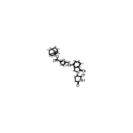 O=C1CCC(N2Cc3c(NCc4csc(C(=O)OC56CC7CC(CC(C7)C5)C6)n4)cccc3C2=O)C(=O)N1